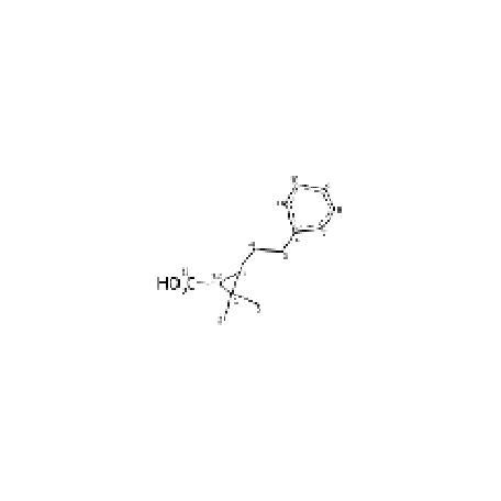 CC1(C)C(CCc2ccccc2)C1C(=O)O